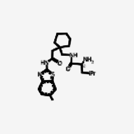 Cc1ccc2nc(NC(=O)CC3(CNC(=O)[C@@H](N)CC(C)C)CCCCC3)sc2c1